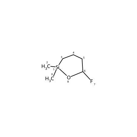 C[Si]1(C)CCCC(F)O1